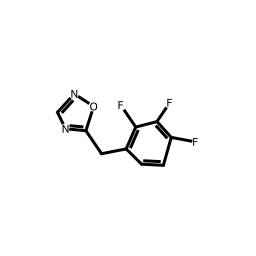 Fc1ccc(Cc2ncno2)c(F)c1F